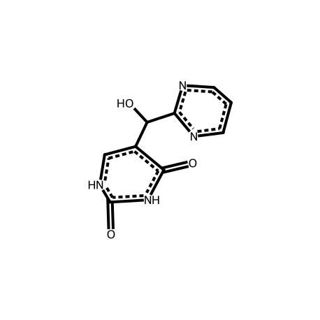 O=c1[nH]cc(C(O)c2ncccn2)c(=O)[nH]1